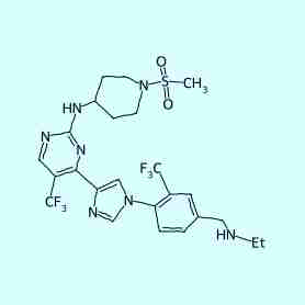 CCNCc1ccc(-n2cnc(-c3nc(NC4CCN(S(C)(=O)=O)CC4)ncc3C(F)(F)F)c2)c(C(F)(F)F)c1